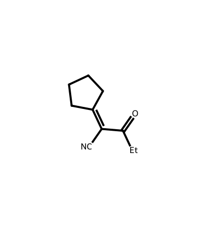 CCC(=O)C(C#N)=C1CCCC1